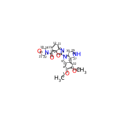 CCOc1cc(CN(c2nc3cccc(C(=O)N4CCOCC4)c3o2)C2CCNCC2)ccc1OC